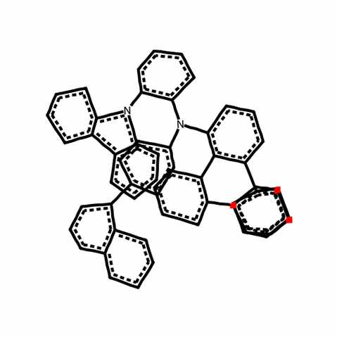 c1ccc(-c2ccccc2-c2c(-c3ccccc3)cccc2N(c2ccc(-c3cccc4ccccc34)cc2)c2ccccc2-n2c3ccccc3c3ccccc32)cc1